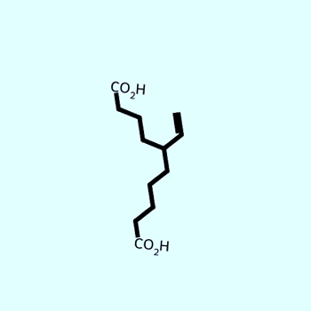 C=CC(CCCCC(=O)O)CCCC(=O)O